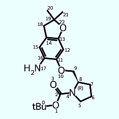 CC(C)(C)OC(=O)N1CCC[C@@H]1COc1cc2c(cc1N)CC(C)(C)O2